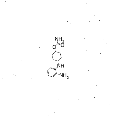 NC(=O)OC1CCC(Nc2ccccc2N)CC1